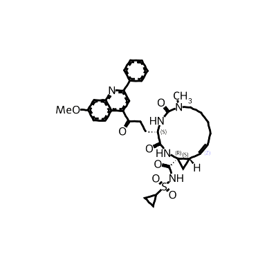 COc1ccc2c(C(=O)CC[C@@H]3NC(=O)N(C)CCCC/C=C\[C@@H]4C[C@@]4(C(=O)NS(=O)(=O)C4CC4)NC3=O)cc(-c3ccccc3)nc2c1